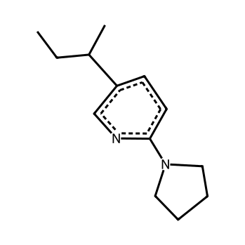 CCC(C)c1ccc(N2CCCC2)nc1